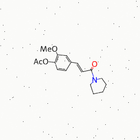 COc1cc(/C=C/C(=O)N2CCCCC2)ccc1OC(C)=O